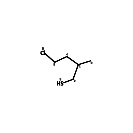 CC(CS)CCCl